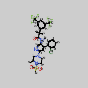 CC1CN(c2cc(-c3ccccc3Cl)c(N(C)C(=O)C(C)(C)c3cc(C(F)(F)F)cc(C(F)(F)F)c3)cn2)CCN1S(C)(=O)=O